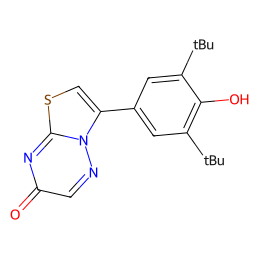 CC(C)(C)c1cc(-c2csc3nc(=O)cnn23)cc(C(C)(C)C)c1O